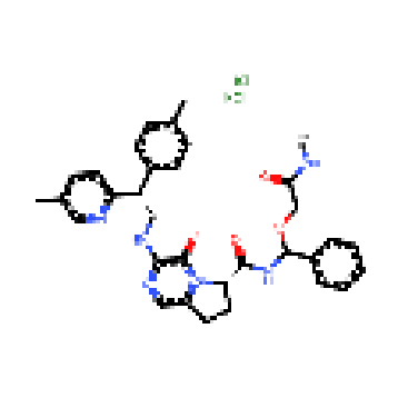 CCNC(=O)COC(NC(=O)[C@@H]1CCc2cnc(NC[C@@H](c3ccc(C)cc3)c3ccc(C)cn3)c(=O)n21)c1ccccc1.Cl.Cl